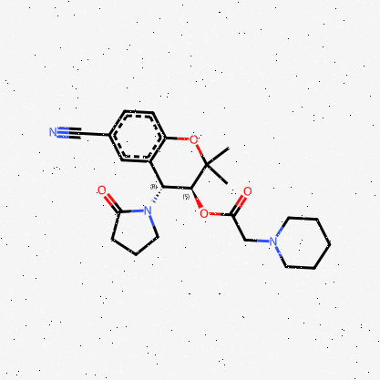 CC1(C)Oc2ccc(C#N)cc2[C@@H](N2CCCC2=O)[C@@H]1OC(=O)CN1CCCCC1